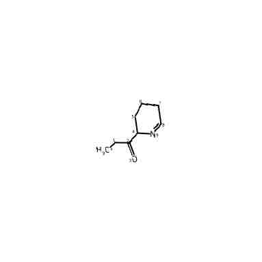 CCC(=O)C1CCCC=N1